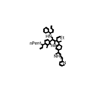 C=C/C=C\C(NC/C(=C(/C)C(/C=C\CC)=C(C)C1=CC=C(/C(=C/C=C/c2ccccn2)CN)CC1)c1ccc(C(C=C)CCCCC)c(C)c1CCCC)C1C=CC=CC1